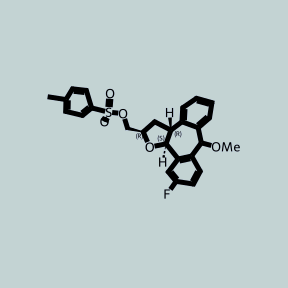 COC1c2ccccc2[C@H]2C[C@H](COS(=O)(=O)c3ccc(C)cc3)O[C@@H]2c2cc(F)ccc21